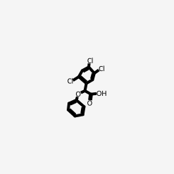 O=C(O)C(Oc1ccccc1)c1cc(Cl)c(Cl)cc1Cl